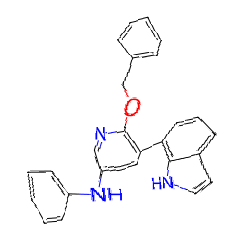 c1ccc(COc2ncc(Nc3ccccc3)cc2-c2cccc3cc[nH]c23)cc1